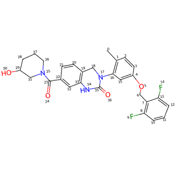 Cc1ccc(OCc2c(F)cccc2F)cc1N1Cc2ccc(C(=O)N3CCCC(O)C3)cc2NC1=O